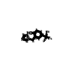 Oc1ccc(C(F)(F)F)cc1Cn1cncn1